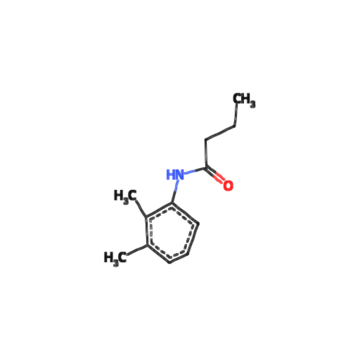 CCCC(=O)Nc1cccc(C)c1C